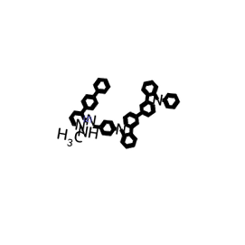 CNn1cccc(-c2ccc(-c3ccccc3)cc2)/c1=N/Cc1ccc(-n2c3ccccc3c3cc(-c4ccc5c(c4)c4ccccc4n5-c4ccccc4)ccc32)cc1